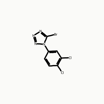 Clc1ccc(-n2nnnc2Br)cc1Cl